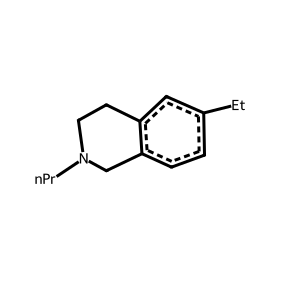 CCCN1CCc2cc(CC)ccc2C1